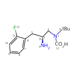 CC(C)(C)N(C[C@@H](N)Cc1ccccc1F)C(=O)O